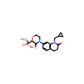 CC(C)(C)[C@](O)(C(=O)O)[C@H]1OCCN(c2ccc3c(c2)N(CC2CC2)C(=O)CC3)C1=O